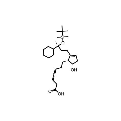 CC(C)(C)[Si](C)(C)O[C@@](C)(CCC1=CC[C@H](O)[C@@H]1CCC=C=CCC(=O)O)C1CCCCC1